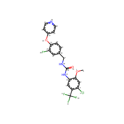 COc1cc(Cl)c(C(F)(F)F)cc1NC(=O)NCc1ccc(Oc2ccncc2)c(F)c1